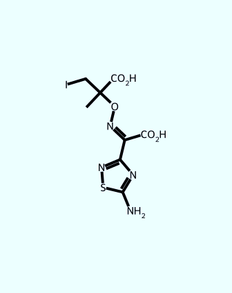 CC(CI)(ON=C(C(=O)O)c1nsc(N)n1)C(=O)O